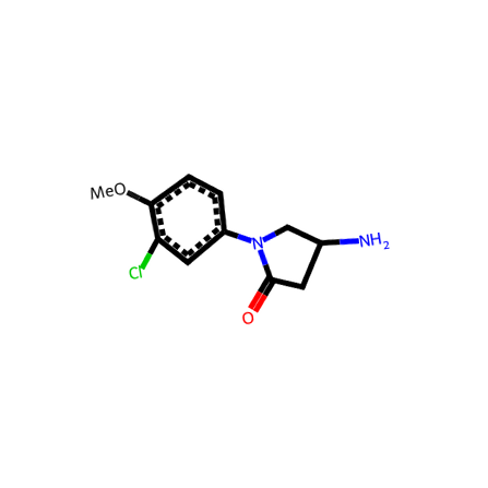 COc1ccc(N2CC(N)CC2=O)cc1Cl